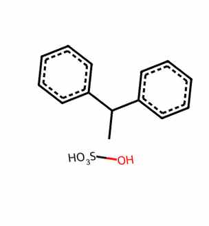 CC(c1ccccc1)c1ccccc1.O=S(=O)(O)O